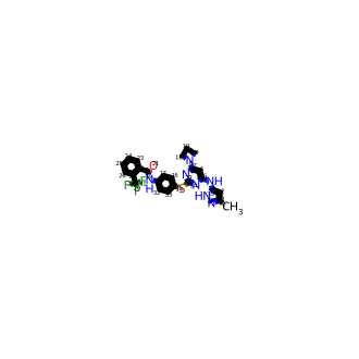 Cc1cc(Nc2cc(N3CCC3)nc(Sc3ccc(NC(=O)c4ccccc4C(F)(F)F)cc3)n2)[nH]n1